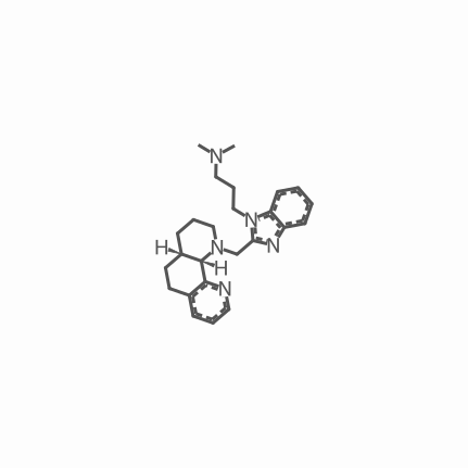 CN(C)CCCn1c(CN2CCC[C@H]3CCc4cccnc4[C@H]32)nc2ccccc21